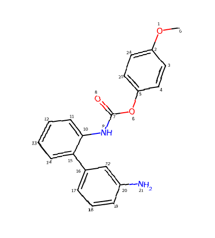 COc1ccc(OC(=O)Nc2ccccc2-c2cccc(N)c2)cc1